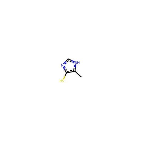 Cc1[nH]cnc1S